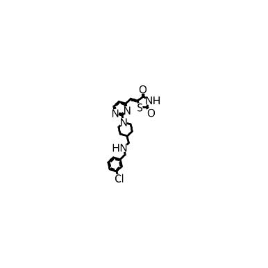 O=C1NC(=O)C(=Cc2ccnc(N3CCC(CNCc4cccc(Cl)c4)CC3)n2)S1